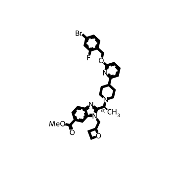 COC(=O)c1ccc2nc([C@H](C)N3CCC(c4cccc(OCc5ccc(Br)cc5F)n4)CC3)n(CC3CCO3)c2c1